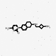 Nc1ccn(-c2ccc3c(c2)CCC(NCC2CC(N)C2)C3)c(=O)n1